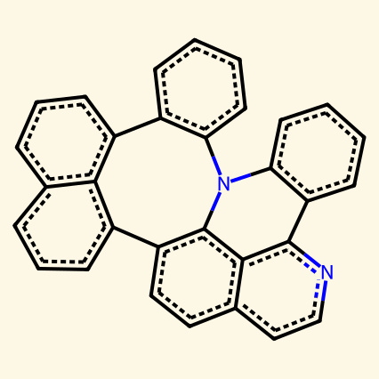 c1ccc2c(c1)-c1cccc3cccc(c13)-c1ccc3ccnc4c3c1N2c1ccccc1-4